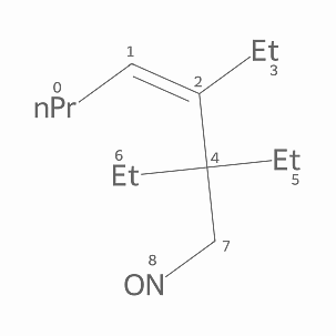 CCCC=C(CC)C(CC)(CC)CN=O